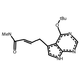 CNC(=O)/C=C/Cc1c[nH]c2ncnc(OC(C)(C)C)c12